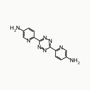 Nc1ccc(-c2nnc(-c3ccc(N)cn3)nn2)nc1